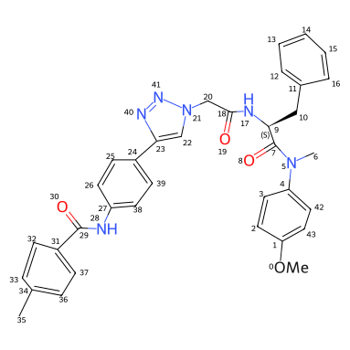 COc1ccc(N(C)C(=O)[C@H](Cc2ccccc2)NC(=O)Cn2cc(-c3ccc(NC(=O)c4ccc(C)cc4)cc3)nn2)cc1